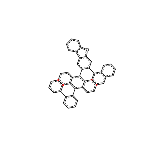 c1ccc(-c2ccccc2-c2c3ccccc3c(-c3cc4c(cc3-c3cccc5ccccc35)oc3ccccc34)c3ccccc23)cc1